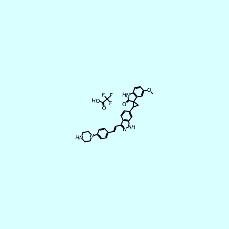 COc1ccc2c(c1)C1(CC1c1ccc3c(/C=C/c4ccc(N5CCNCC5)cc4)n[nH]c3c1)C(=O)N2.O=C(O)C(F)(F)F